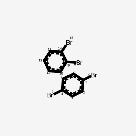 Brc1ccc(Br)cc1.Brc1ccccc1Br